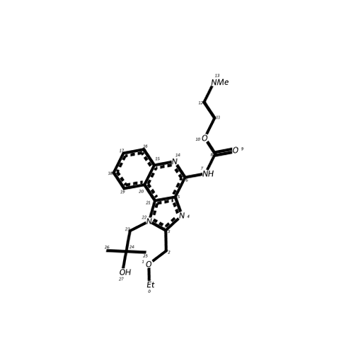 CCOCc1nc2c(NC(=O)OCCNC)nc3ccccc3c2n1CC(C)(C)O